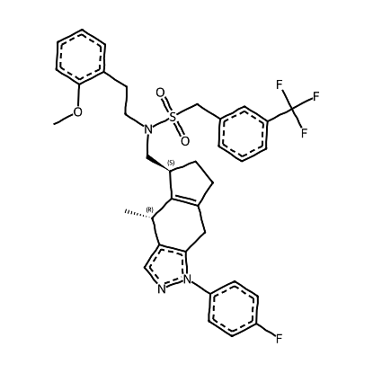 COc1ccccc1CCN(C[C@H]1CCC2=C1[C@@H](C)c1cnn(-c3ccc(F)cc3)c1C2)S(=O)(=O)Cc1cccc(C(F)(F)F)c1